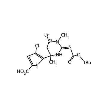 CN1C(=NC(=O)OC(C)(C)C)N[C@](C)(c2sc(C(=O)O)cc2Cl)C[S+]1[O-]